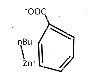 CCC[CH2][Zn+].O=C([O-])c1ccccc1